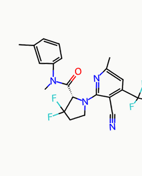 Cc1cccc(N(C)C(=O)[C@@H]2N(c3nc(C)cc(C(F)(F)F)c3C#N)CCC2(F)F)c1